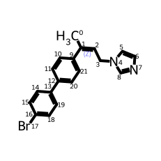 C/C(=C/Cn1ccnc1)c1ccc(-c2ccc(Br)cc2)cc1